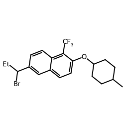 CCC(Br)c1ccc2c(C(F)(F)F)c(OC3CCC(C)CC3)ccc2c1